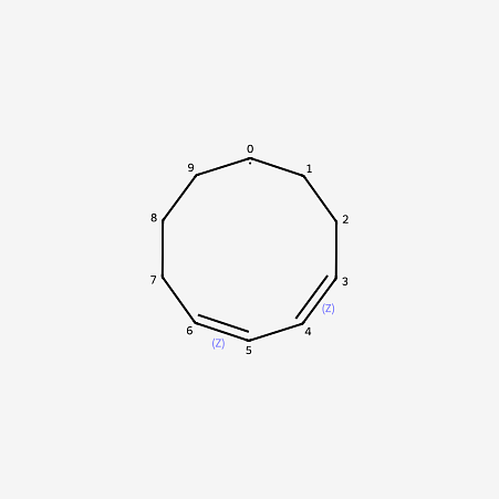 [CH]1CC/C=C\C=C/CCC1